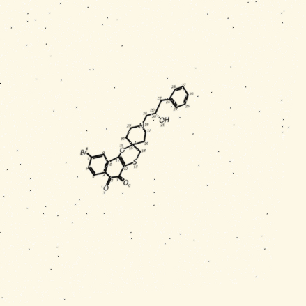 O=C1C(=O)c2ccc(Br)cc2C2=C1SCC1(CCN(C[C@@H](O)Cc3ccccc3)CC1)O2